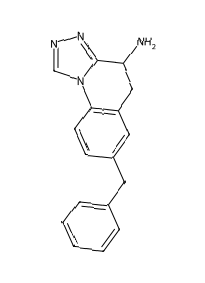 NC1Cc2cc(Cc3ccccc3)ccc2-n2cnnc21